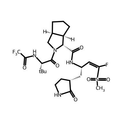 CC(C)(C)[C@H](NC(=O)C(F)(F)F)C(=O)N1C[C@H]2CCC[C@H]2[C@@H]1C(=O)N[C@H](/C=C(/F)S(C)(=O)=O)C[C@H]1CCNC1=O